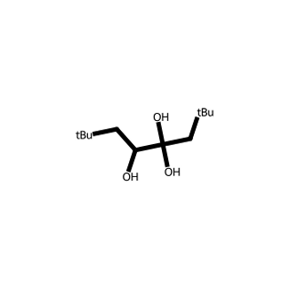 CC(C)(C)CC(O)C(O)(O)CC(C)(C)C